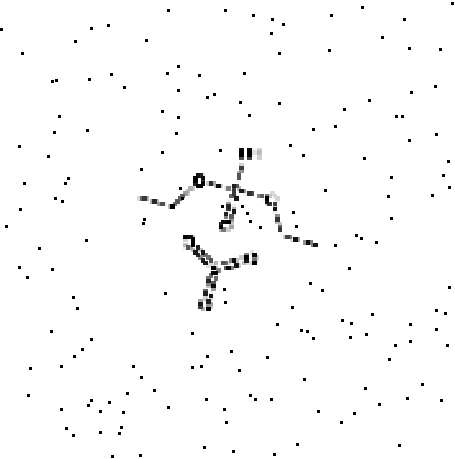 CCOP(=O)(O)OCC.O=S(=O)=O